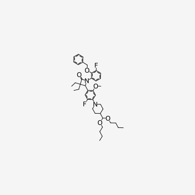 CCCCOC(OCCCC)C1CCN(c2cc(OC)c(C3N(c4cccc(F)c4OCc4ccccc4)C(=O)C3(CC)CC)cc2F)CC1